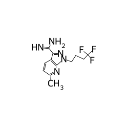 Cc1ccc2c(C(=N)N)nn(CCCC(F)(F)F)c2n1